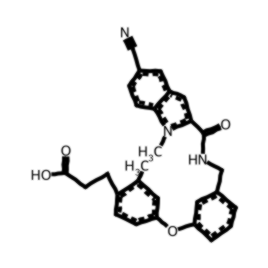 Cc1cc(Oc2cccc(CNC(=O)c3cc4cc(C#N)ccc4n3C)c2)ccc1CCC(=O)O